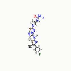 CCc1nc2sc(N3CC[C@H](N(C)C(N)=O)C3)nn2c1N(C)c1nc(-c2ccc(F)cc2)c(C#N)s1